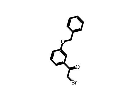 O=C(CBr)c1cccc(OCc2ccccc2)c1